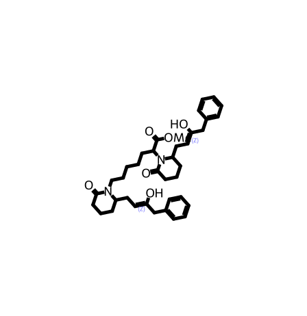 COC(=O)C(CCCCCN1C(=O)CCCC1C/C=C(\O)Cc1ccccc1)N1C(=O)CCCC1C/C=C(\O)Cc1ccccc1